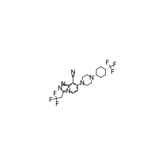 N#Cc1c(N2CCN([C@H]3CC[C@@H](C(F)(F)F)CC3)CC2)ccn2c(CC(F)(F)F)nnc12